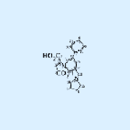 O=C(O)/C=C/C(=O)O.c1ccc(-c2cncc(CN3CCCC3)c2)cc1